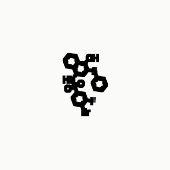 O=S(=O)(Nc1cc(Sc2ccccc2)c(O)c2ccccc12)c1ccc(Br)c(F)c1